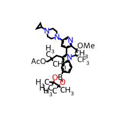 COC(C)c1ncc(N2CCN(C3CC3)CC2)cc1-c1c(CC(C)(C)COC(C)=O)c2cc(B3OC(C)(C)C(C)(C)O3)ccc2n1CC(F)(F)F